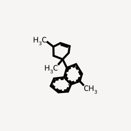 Cc1ccc(C2(C)CC=CC(C)C2)c2ccccc12